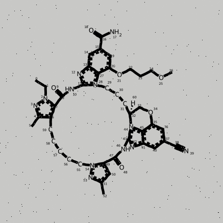 CCn1nc(C)c2c1C(=O)Nc1nc3cc(C(N)=O)cc(OCCCOC)c3n1CCC[C@H]1COc3cc(C#N)cc4nc(n1c34)NC(=O)c1cc(C)nn1CCCCC2